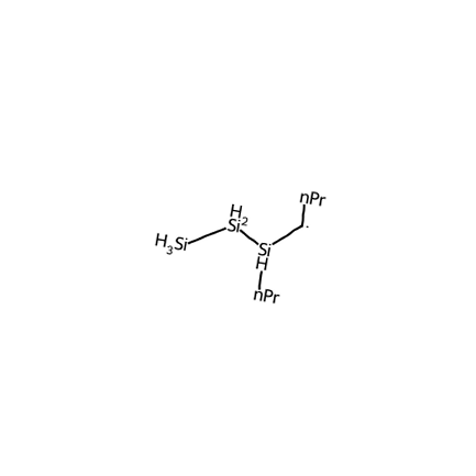 CCC[CH][SiH](CCC)[SiH2][SiH3]